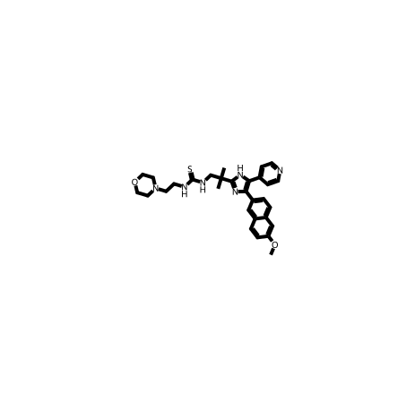 COc1ccc2cc(-c3nc(C(C)(C)CNC(=S)NCCN4CCOCC4)[nH]c3-c3ccncc3)ccc2c1